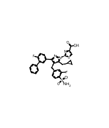 NS(=O)(=O)c1ccc(Cc2c(-c3ccc(F)c(-c4ccccc4)c3)nn(-c3nc(C(=O)O)cs3)c2CC2CC2)cc1F